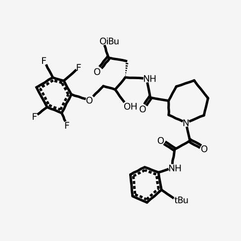 CC(C)COC(=O)C[C@H](NC(=O)C1CCCCN(C(=O)C(=O)Nc2ccccc2C(C)(C)C)C1)C(O)COc1c(F)c(F)cc(F)c1F